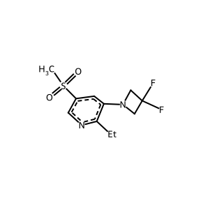 CCc1ncc(S(C)(=O)=O)cc1N1CC(F)(F)C1